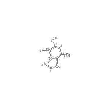 Fc1cc(Br)c2scnc2c1F